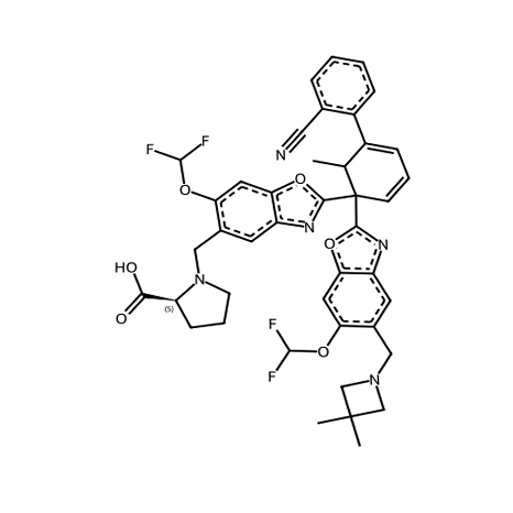 CC1C(c2ccccc2C#N)=CC=CC1(c1nc2cc(CN3CC(C)(C)C3)c(OC(F)F)cc2o1)c1nc2cc(CN3CCC[C@H]3C(=O)O)c(OC(F)F)cc2o1